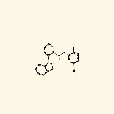 Cc1ccc(C#N)nc1CC(N)c1ncccc1-n1ncc2ccccc21.Cl